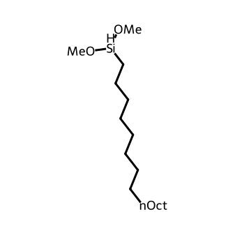 CCCCCCCCCCCCCCCC[SiH](OC)OC